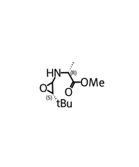 COC(=O)[C@@H](C)NC1O[C@H]1C(C)(C)C